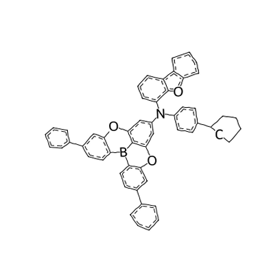 c1ccc(-c2ccc3c(c2)Oc2cc(N(c4ccc(C5CCCCC5)cc4)c4cccc5c4oc4ccccc45)cc4c2B3c2ccc(-c3ccccc3)cc2O4)cc1